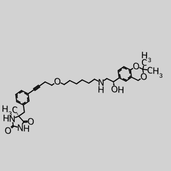 CC1(C)OCc2cc([C@@H](O)CNCCCCCCOCCC#Cc3cccc(C[C@]4(C)NC(=O)NC4=O)c3)ccc2O1